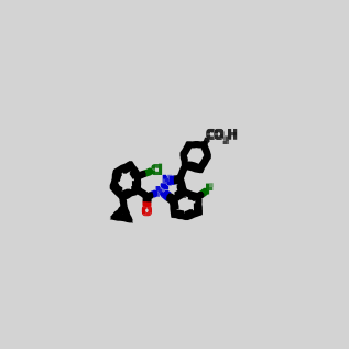 O=C(O)[C@H]1CC=C(c2nn(C(=O)c3c(Cl)cccc3C3CC3)c3cccc(F)c23)CC1